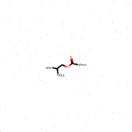 CCCCCCCCCCC(CCCCCCCC)COC(=O)CCCCC